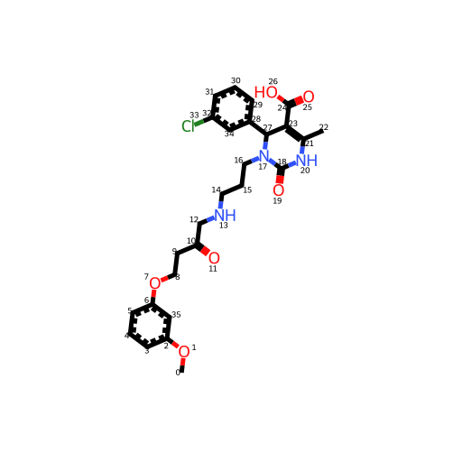 COc1cccc(OCCC(=O)CNCCCN2C(=O)NC(C)=C(C(=O)O)C2c2cccc(Cl)c2)c1